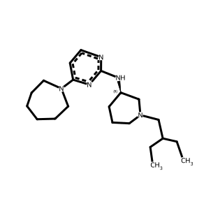 CCC(CC)CN1CCC[C@@H](Nc2nccc(N3CCCCCC3)n2)C1